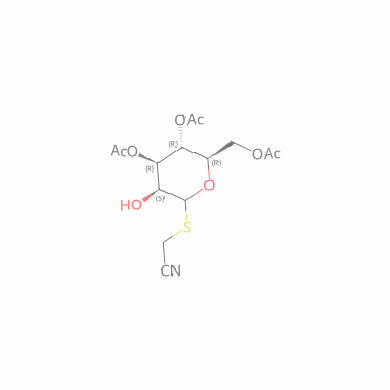 CC(=O)OC[C@H]1OC(SCC#N)[C@@H](O)[C@@H](OC(C)=O)[C@@H]1OC(C)=O